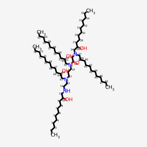 CCCCCCCCCCC(O)CNCCN(CCCN(CCN(CC(O)CCCCCCCCCC)C[C@H](O)CCCCCCCCCC)C[C@H](O)CCCCCCCCCC)C[C@H](O)CCCCCCCCCC